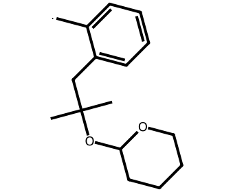 [CH2]c1ccccc1CC(C)(C)OC1CCCCO1